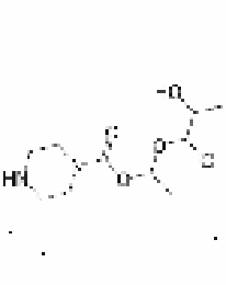 CC(OC(=O)N1CCNCC1)OC(Cl)C(C)O